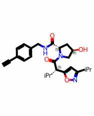 C#Cc1ccc(CNC(=O)[C@@H]2C[C@@H](O)CN2C(=O)[C@H](c2cc(C(C)C)no2)C(C)C)cc1